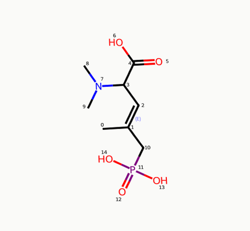 C/C(=C\C(C(=O)O)N(C)C)CP(=O)(O)O